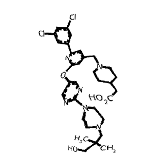 CC(C)(CO)CN1CCN(c2ncc(Oc3cc(CN4CCC(CC(=O)O)CC4)cc(-c4cc(Cl)cc(Cl)c4)n3)cn2)CC1